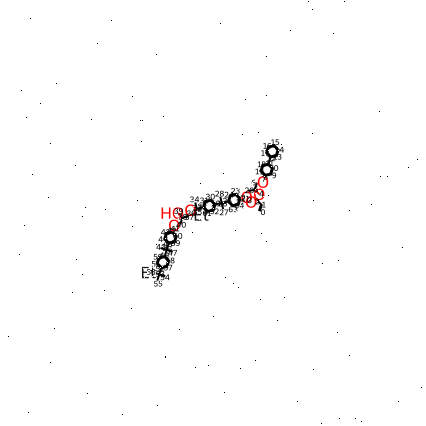 C=CC(=O)OC(COc1ccc(-c2ccccc2)cc1)COc1ccc(C(C)(C)c2ccc(C(C)(CC)OCC(O)COc3ccc(C(C)(C)c4ccc(C(C)(C)CC)cc4)cc3)cc2)cc1